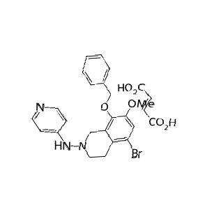 COc1cc(Br)c2c(c1OCc1ccccc1)CN(Nc1ccncc1)CC2.O=C(O)/C=C/C(=O)O